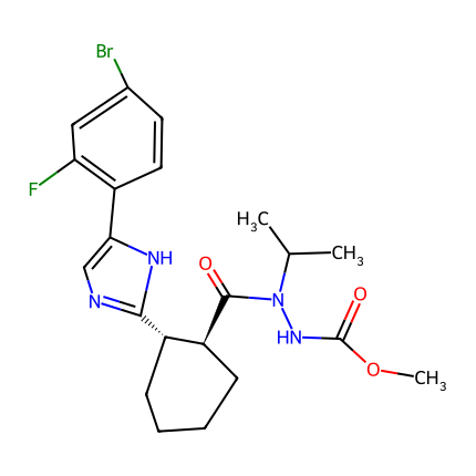 COC(=O)NN(C(=O)[C@H]1CCCC[C@@H]1c1ncc(-c2ccc(Br)cc2F)[nH]1)C(C)C